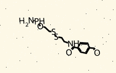 NPOCCSSCCNC(=O)c1ccc(C=O)cc1